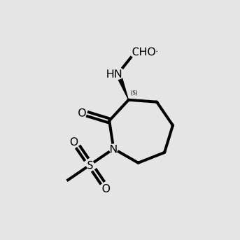 CS(=O)(=O)N1CCCC[C@H](N[C]=O)C1=O